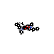 CC1(C)c2ccccc2-c2ccc(N(c3ccccc3)c3ccc(-c4ccc(-c5ccccc5-n5c6cc(-c7ccccc7)ccc6c6ccc(-c7ccccc7)cc65)cc4)cc3)cc21